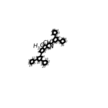 CC1(C)c2ccc(-c3cc(-c4ccccc4)cc(-c4ccccc4)c3)cc2-c2cnc(-c3cc(-c4ccccc4)cc(-c4ccccc4)c3)cc21